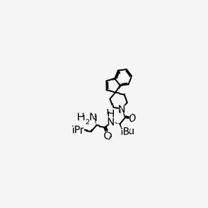 CC[C@H](C)[C@H](NC(=O)[C@@H](N)CC(C)C)C(=O)N1CCC2(C=Cc3ccccc32)CC1